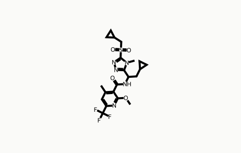 COc1nc(C(F)(F)F)cc(C)c1C(=O)NC(CC1CC1)c1nnc(S(=O)(=O)CC2CC2)n1C